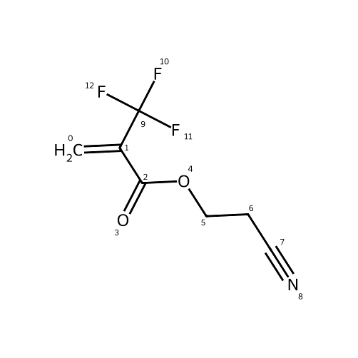 C=C(C(=O)OCCC#N)C(F)(F)F